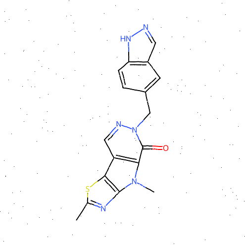 Cc1nc2c(s1)c1cnn(Cc3ccc4[nH]ncc4c3)c(=O)c1n2C